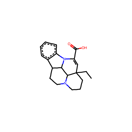 CCC12C=C(C(=O)O)N3c4ccccc4C4CCN(CCC1)C2C43